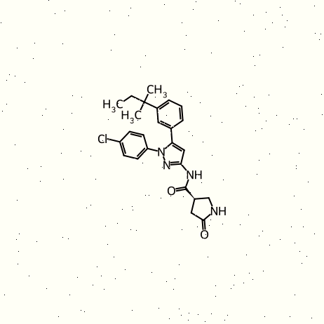 CCC(C)(C)c1cccc(-c2cc(NC(=O)[C@H]3CNC(=O)C3)nn2-c2ccc(Cl)cc2)c1